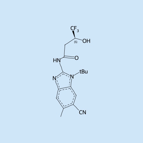 Cc1cc2nc(NC(=O)C[C@H](O)C(F)(F)F)n(C(C)(C)C)c2cc1C#N